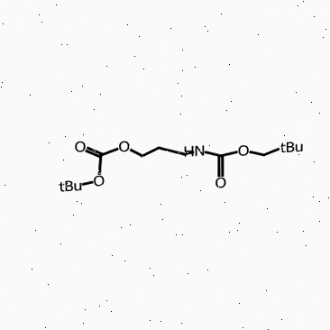 CC(C)(C)COC(=O)NCCCOC(=O)OC(C)(C)C